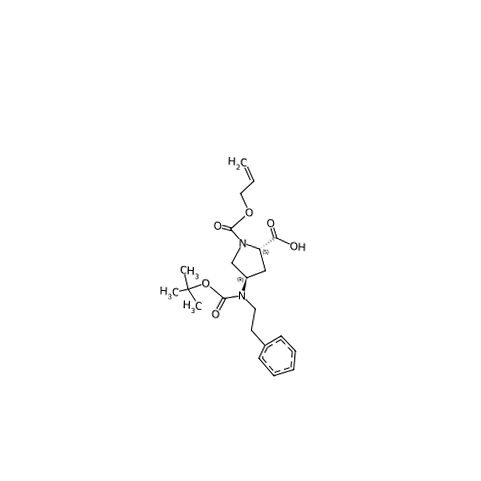 C=CCOC(=O)N1C[C@H](N(CCc2ccccc2)C(=O)OC(C)(C)C)C[C@H]1C(=O)O